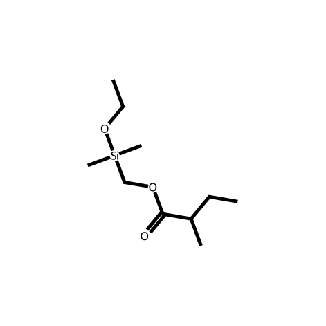 CCO[Si](C)(C)COC(=O)C(C)CC